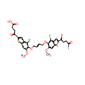 COc1cc2sc(C(=O)CCC(=O)O)cc2c(F)c1OC/C=C/COc1c(OC)cc2sc(C(=O)CCC(=O)I)cc2c1F